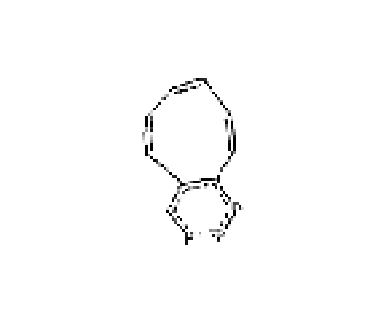 C1=CC=Cc2pppcc2C=C1